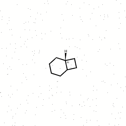 C1CC[C@@H]2CCC2C1